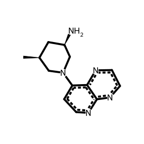 C[C@H]1C[C@@H](N)CN(c2ccnc3nccnc23)C1